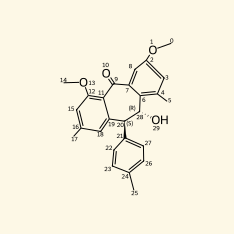 COc1cc(C)c2c(c1)C(=O)c1c(OC)cc(C)cc1[C@H](c1ccc(C)cc1)[C@H]2O